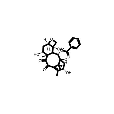 CC(=O)O[C@@]12CO[C@@H]1C[C@@H](O)[C@@]1(C)C(=O)C(=O)C3=C(C)[C@@H](O)C[C@@](O)([C@@H](OC(=O)c4ccccc4)[C@H]21)C3(C)C